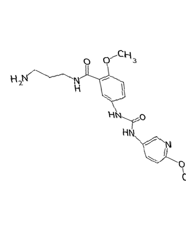 COc1ccc(NC(=O)Nc2ccc(OC)c(C(=O)NCCCN)c2)cn1